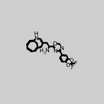 NC(CC1=CNC2=C=C/C=C\C=C(/C2)C1)C1=NC(c2ccc3c(c2)OC(F)(F)O3)=NCO1